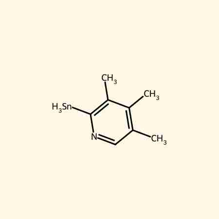 Cc1cn[c]([SnH3])c(C)c1C